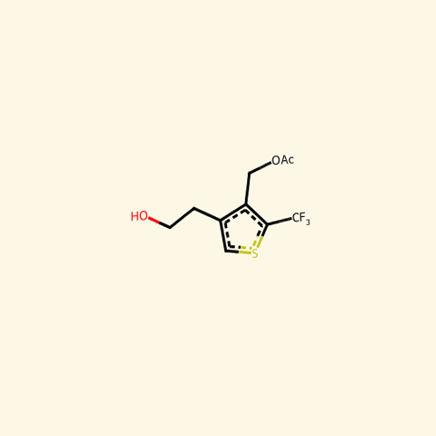 CC(=O)OCc1c(CCO)csc1C(F)(F)F